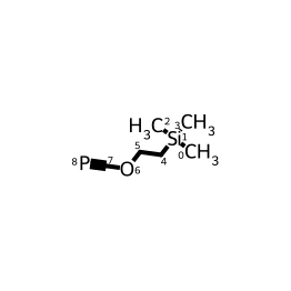 C[Si](C)(C)CCOC#P